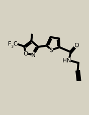 C#CCNC(=O)c1ccc(-c2noc(C(F)(F)F)c2C)s1